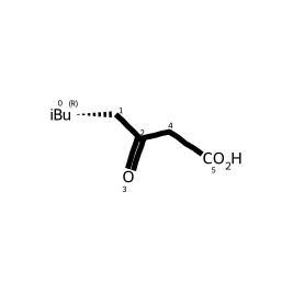 CC[C@@H](C)CC(=O)CC(=O)O